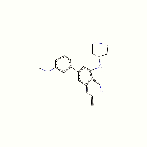 C=C/C=c1/cc(-c2cccc(NC)c2)cc(NC2CCNCC2)/c1=C/N